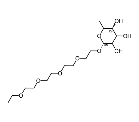 CCOCCOCCOCCOCCO[C@@H]1OC(C)[C@@H](O)C(O)C1O